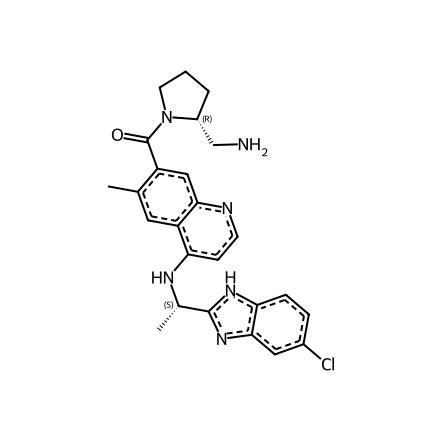 Cc1cc2c(N[C@@H](C)c3nc4cc(Cl)ccc4[nH]3)ccnc2cc1C(=O)N1CCC[C@@H]1CN